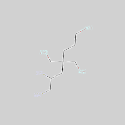 OCCCC(CO)(CO)CC(S)CS